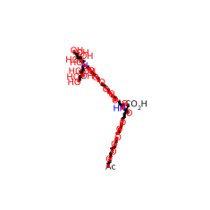 CC(=O)CCOCCOCCOCCOCCOCCOCCCC(=O)[C@H](CC(=O)O)NC(=O)CCOCCOCCOCCOCCOCCOCCN(C[C@H](O)[C@@H](O)[C@H](O)[C@H](O)CO)C[C@H](O)[C@@H](O)[C@H](O)[C@H](O)CO